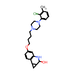 Cc1cccc(N2CCN(CCCCOc3ccc4c(c3)NC(O)C3CC43)CC2)c1Cl